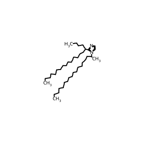 CCCCCCCCCCCCCCCCC(C)n1ccnc1C(CCCC)CCCCCCCCCCCCCCC